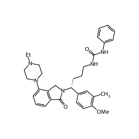 CCN1CCN(c2cccc3c2CN([C@H](CCCNC(=O)Nc2ccccc2)c2ccc(OC)c(C)c2)C3=O)CC1